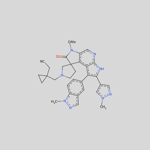 CON1C(=O)C2(CCN(CC3(CC#N)CC3)C2)c2c1cnc1[nH]c(-c3cnn(C)c3)c(-c3ccc4c(cnn4C)c3)c21